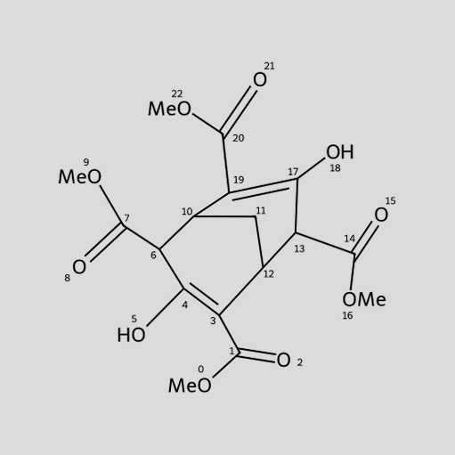 COC(=O)C1=C(O)C(C(=O)OC)C2CC1C(C(=O)OC)C(O)=C2C(=O)OC